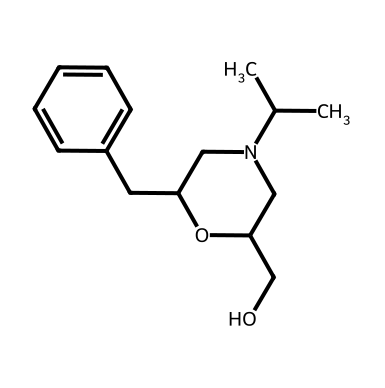 CC(C)N1CC(CO)OC(Cc2ccccc2)C1